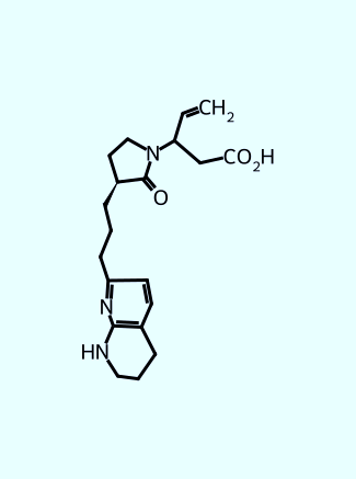 C=CC(CC(=O)O)N1CC[C@H](CCCc2ccc3c(n2)NCCC3)C1=O